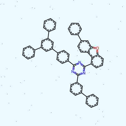 c1ccc(-c2cc(-c3ccccc3)cc(-c3ccc(-c4nc(-c5cccc(-c6ccccc6)c5)nc(-c5cccc6oc7cc(-c8ccccc8)ccc7c56)n4)cc3)c2)cc1